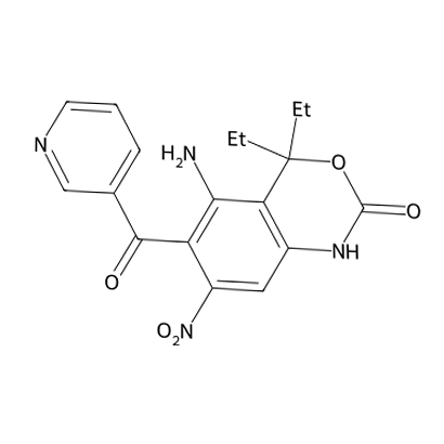 CCC1(CC)OC(=O)Nc2cc([N+](=O)[O-])c(C(=O)c3cccnc3)c(N)c21